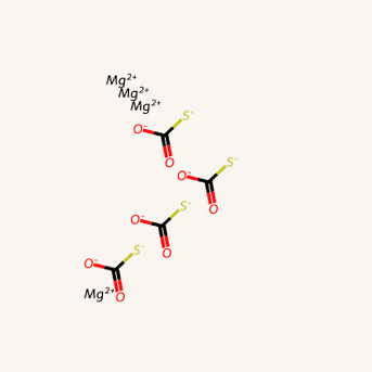 O=C([O-])[S-].O=C([O-])[S-].O=C([O-])[S-].O=C([O-])[S-].[Mg+2].[Mg+2].[Mg+2].[Mg+2]